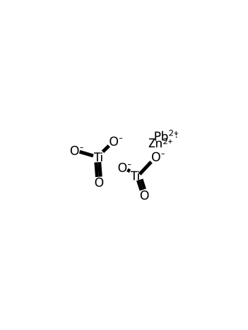 [O]=[Ti]([O-])[O-].[O]=[Ti]([O-])[O-].[Pb+2].[Zn+2]